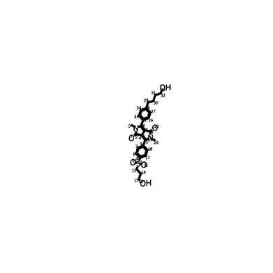 CN1C(=O)C2=C(c3ccc(S(=O)(=O)CCCO)cc3)N(C)C(=O)C2=C1c1ccc(CCCCO)cc1